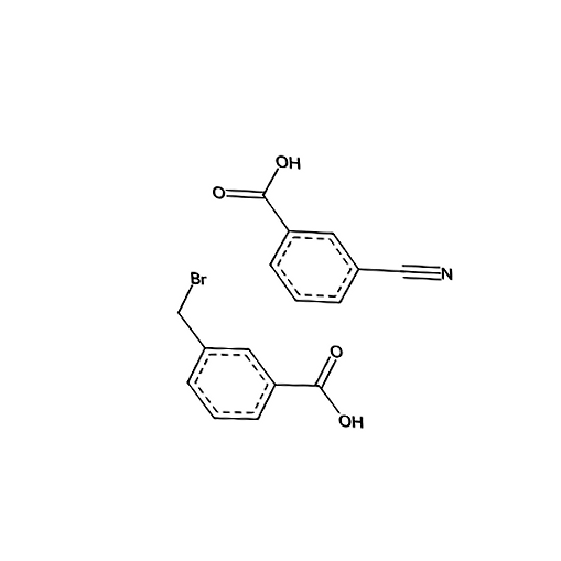 N#Cc1cccc(C(=O)O)c1.O=C(O)c1cccc(CBr)c1